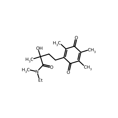 CCN(C)C(=O)C(C)(O)CCC1=C(C)C(=O)C(C)=C(C)C1=O